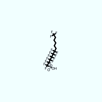 O=S(=O)(O)C(F)(F)C(F)(F)C(F)(F)C(F)(F)C(F)(F)C(F)(F)CCCCCC(F)(F)F